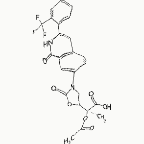 CC(=O)O[C@](C)(C(=O)O)C1CN(c2ccc3cc(-c4ccccc4C(F)(F)F)[nH]c(=O)c3c2)C(=O)O1